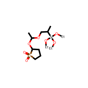 CCO[Si](OCC)(OCC)C(C)COC(C)OC1CCCS1(=O)=O